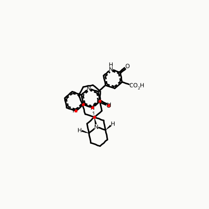 O=C(O)c1cc(-c2nc3ccccc3n([C@H]3C[C@H]4CCC[C@@H](C3)N4[C@@H]3C[C@@H]4CCCC[C@@H](C4)C3)c2=O)c[nH]c1=O